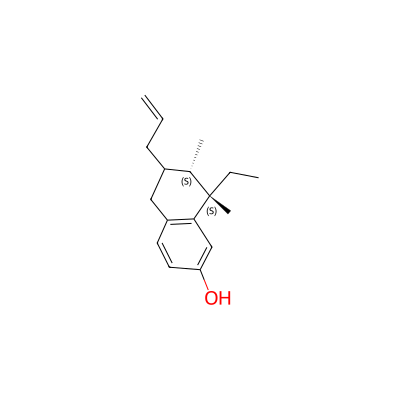 C=CCC1Cc2ccc(O)cc2[C@@](C)(CC)[C@H]1C